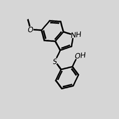 COc1ccc2[nH]cc(Sc3ccccc3O)c2c1